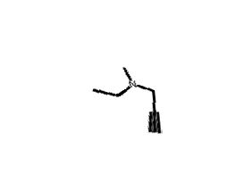 C#CCN(C)CC